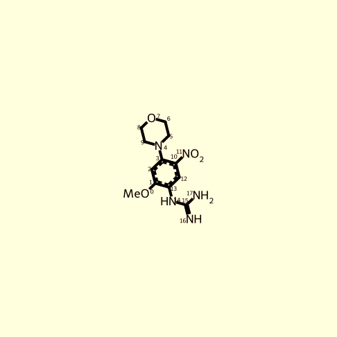 COc1cc(N2CCOCC2)c([N+](=O)[O-])cc1NC(=N)N